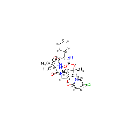 CC(C)(C)OC(=O)N[C@H](C(=O)N[C@H](C(=O)N1CC[C@@H](Oc2ccc(Cl)cn2)C1)C(C)(C)C)C1CCCCC1